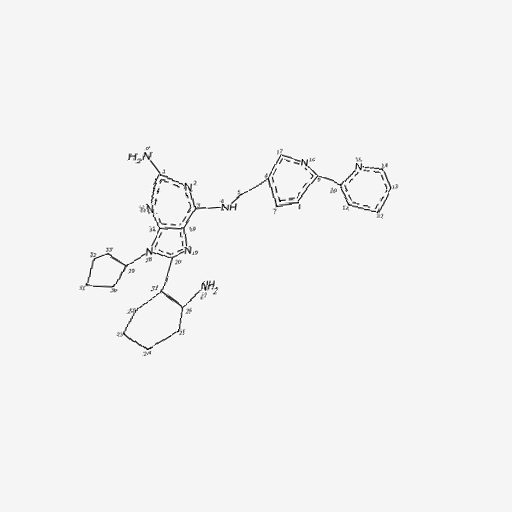 Nc1nc(NCc2ccc(-c3ccccn3)nc2)c2nc(C3CCCCC3N)n(C3CCCC3)c2n1